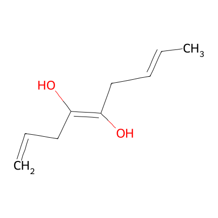 C=CCC(O)=C(O)CC=CC